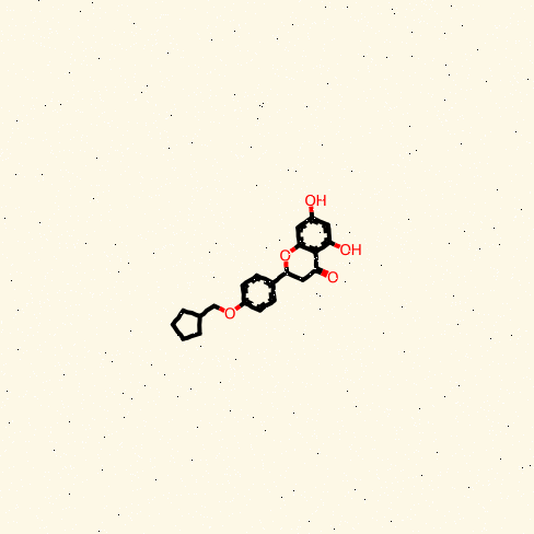 O=C1CC(c2ccc(OCC3CCCC3)cc2)Oc2cc(O)cc(O)c21